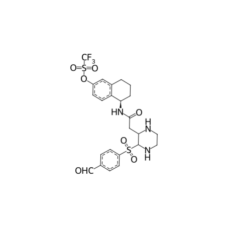 O=Cc1ccc(S(=O)(=O)C2NCCNC2CC(=O)N[C@@H]2CCCc3cc(OS(=O)(=O)C(F)(F)F)ccc32)cc1